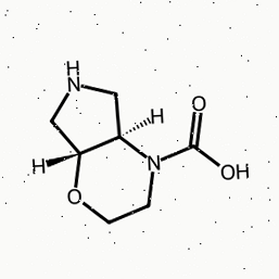 O=C(O)N1CCO[C@@H]2CNC[C@H]21